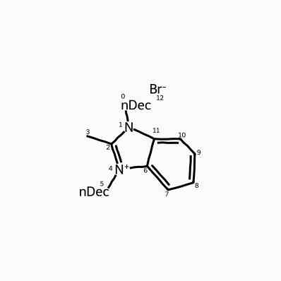 CCCCCCCCCCn1c(C)[n+](CCCCCCCCCC)c2ccccc21.[Br-]